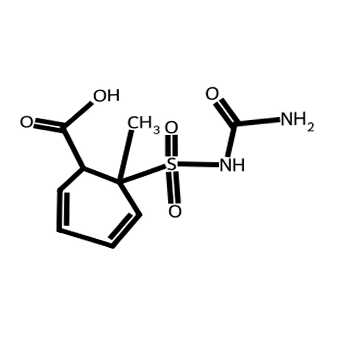 CC1(S(=O)(=O)NC(N)=O)C=CC=CC1C(=O)O